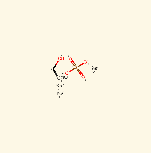 O=C([O-])CO.O=S(=O)([O-])[O-].[Na+].[Na+].[Na+]